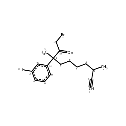 C#CC(C)CCCCC(C)(C(=O)CBr)c1cccc(I)c1